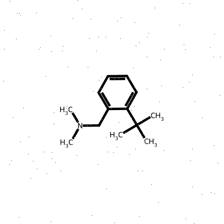 CN(C)Cc1ccccc1C(C)(C)C